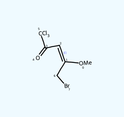 CO/C(=C/C(=O)C(Cl)(Cl)Cl)CBr